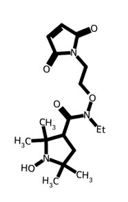 CCN(OCCN1C(=O)C=CC1=O)C(=O)C1CC(C)(C)N(O)C1(C)C